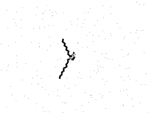 CCCCCCCCCCn1cc[n+](C)c1CCCCCCCC